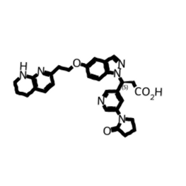 O=C(O)C[C@@H](c1cncc(N2CCCC2=O)c1)n1ncc2cc(OCCc3ccc4c(n3)NCCC4)ccc21